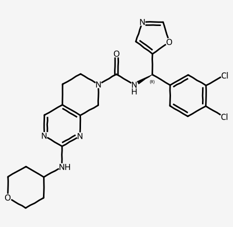 O=C(N[C@H](c1ccc(Cl)c(Cl)c1)c1cnco1)N1CCc2cnc(NC3CCOCC3)nc2C1